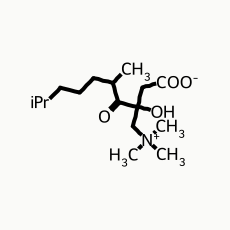 CC(C)CCCC(C)C(=O)C(O)(CC(=O)[O-])C[N+](C)(C)C